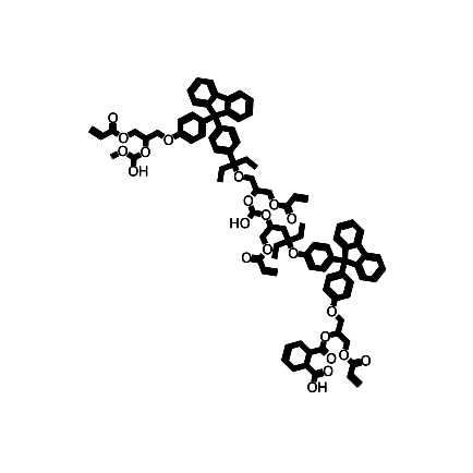 C=CC(=O)OCC(COc1ccc(C2(c3ccc(OC(CC)(CC)CC(COC(=O)C=C)OC(O)OC(COC(=O)C=C)COC(CC)(CC)c4ccc(C5(c6ccc(OCC(COC(=O)C=C)OC(O)OC)cc6)c6ccccc6-c6ccccc65)cc4)cc3)c3ccccc3-c3ccccc32)cc1)OC(=O)C1CC=CCC1C(=O)O